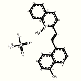 C[n+]1c(C=Cc2ccnc3c(O)cccc23)ccc2ccccc21.O=S(=O)([O-])C(F)(F)F